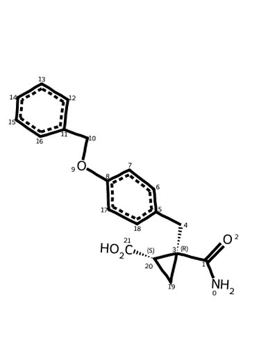 NC(=O)[C@@]1(Cc2ccc(OCc3ccccc3)cc2)C[C@@H]1C(=O)O